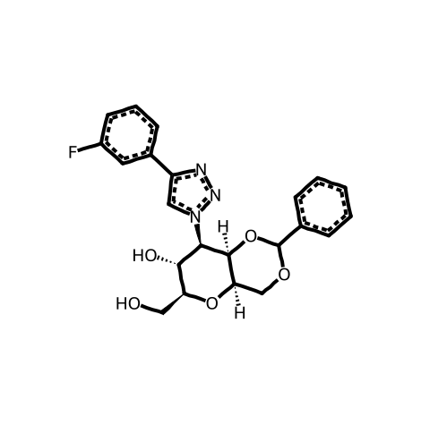 OC[C@@H]1O[C@@H]2COC(c3ccccc3)O[C@@H]2[C@H](n2cc(-c3cccc(F)c3)nn2)[C@H]1O